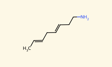 C/C=C/C/C=C/CCN